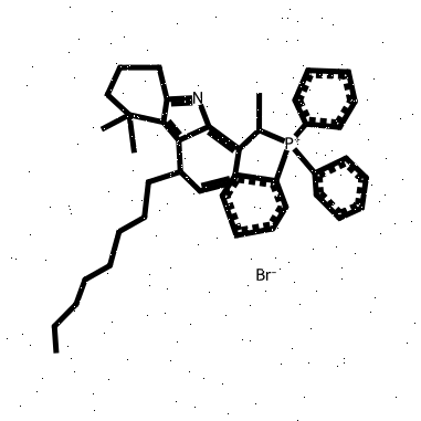 CCCCCCCCC1C=CC(C(C)[P+](c2ccccc2)(c2ccccc2)c2ccccc2)=C2N=C3CCCC(C)(C)C3=C21.[Br-]